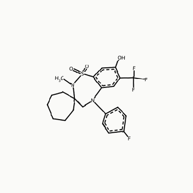 CN1C2(CCCCCC2)CN(c2ccc(F)cc2)c2cc(C(F)(F)F)c(O)cc2S1(=O)=O